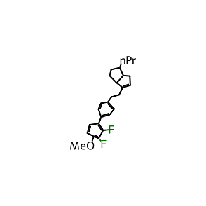 CCCC1CCC2C(CCc3ccc(-c4ccc(OC)c(F)c4F)cc3)=CCC12